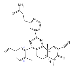 C=CC/C=C(\C(F)=C/C)c1nc(-c2ccnc(CCC(N)=O)c2)nc2c1CC[C@@H]1[C@@H](C)C(=O)C(C#N)=C[C@@]21C